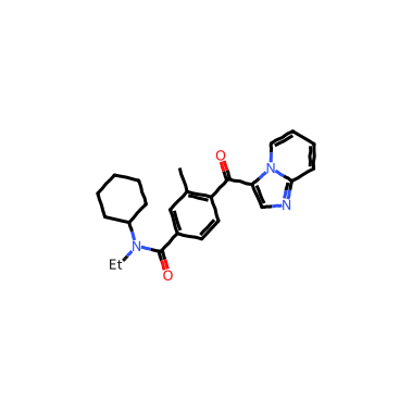 CCN(C(=O)c1ccc(C(=O)c2cnc3ccccn23)c(C)c1)C1CCCCC1